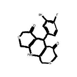 O=C1CSCC2=C1C(c1ccc(F)c(Br)c1)C1=C(CSCC1=O)N2